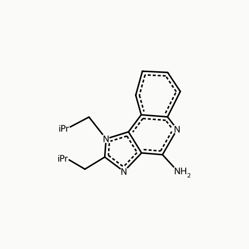 CC(C)Cc1nc2c(N)nc3ccccc3c2n1CC(C)C